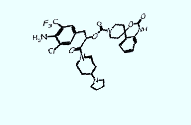 Nc1c(Cl)cc(C[C@@H](OC(=O)N2CCC3(CC2)OC(=O)Nc2ccccc23)C(=O)N2CCC(N3CCCC3)CC2)cc1C(F)(F)F